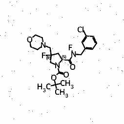 CC(C)(C)OC(=O)N1C[C@](F)(CN2CCOCC2)C[C@H]1C(=O)N(F)Cc1cccc(Cl)c1